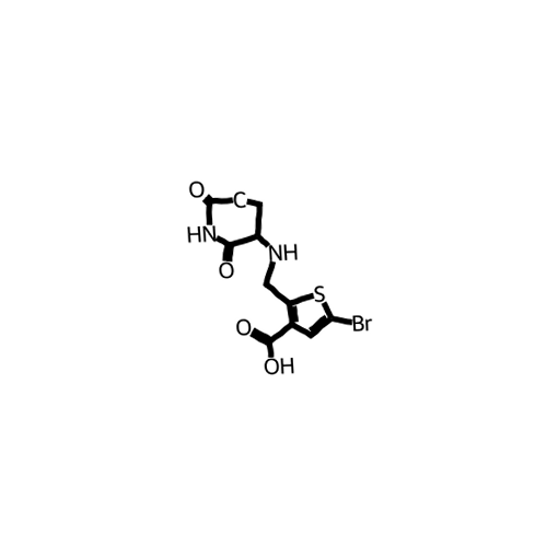 O=C1CCC(NCc2sc(Br)cc2C(=O)O)C(=O)N1